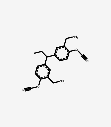 CCC(c1ccc(OC#N)c(CN)c1)c1ccc(OC#N)c(CN)c1